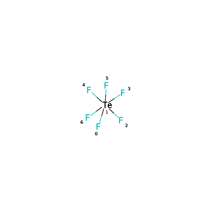 F[Te](F)(F)(F)(F)F